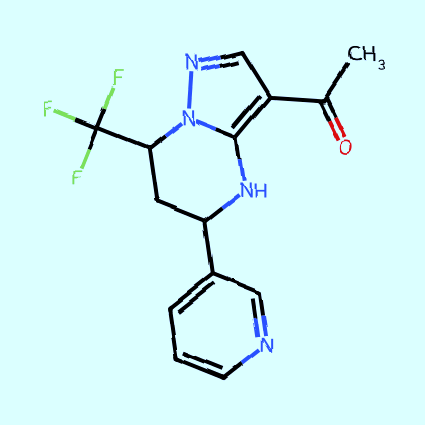 CC(=O)c1cnn2c1NC(c1cccnc1)CC2C(F)(F)F